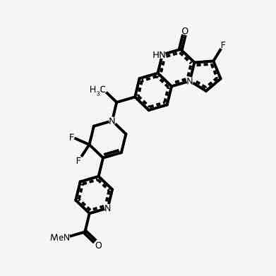 CNC(=O)c1ccc(C2=CCN(C(C)c3ccc4c(c3)[nH]c(=O)c3c(F)ccn34)CC2(F)F)cn1